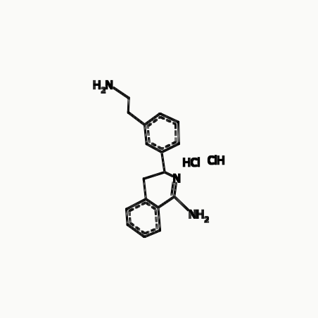 Cl.Cl.NCCc1cccc(C2Cc3ccccc3C(N)=N2)c1